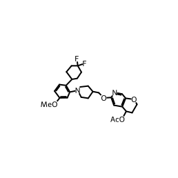 COc1ccc(C2CCC(F)(F)CC2)c(N2CCC(COc3cc4c(cn3)OCCC4OC(C)=O)CC2)c1